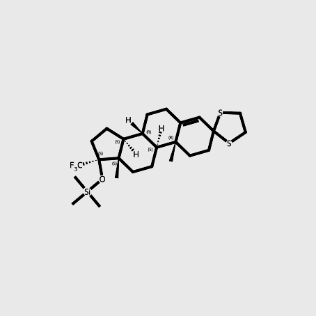 C[C@]12CCC3(C=C1CC[C@@H]1[C@@H]2CC[C@@]2(C)[C@H]1CC[C@@]2(O[Si](C)(C)C)C(F)(F)F)SCCS3